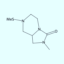 CSN1CCN2C(=O)N(C)CC2C1